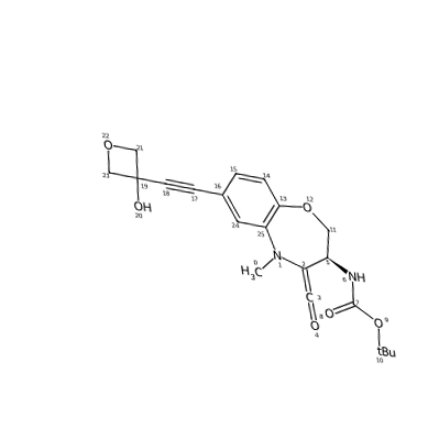 CN1C(=C=O)[C@H](NC(=O)OC(C)(C)C)COc2ccc(C#CC3(O)COC3)cc21